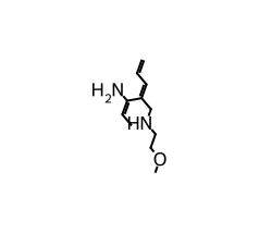 C=C/C=C(CNCCOC)\C(N)=C/C